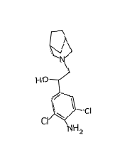 Nc1c(Cl)cc(C(O)CN2CC3CCC(C3)C2)cc1Cl